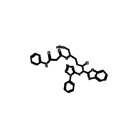 CCCCCCCCCCCC(CCC(Cl)C(Sc1nnnn1-c1ccccc1)c1nc2ccccc2o1)OC(=O)CC(=O)Nc1ccccc1